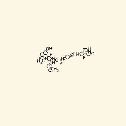 CCc1c(F)ccc2cc(O)cc(-c3ncc4c(N5CCC[C@@](C)(O)C5)nc(OCC5(CN6CC7(CCC(F)(CN8CCN(c9cc(F)c(C%10CCC(=O)NC%10=O)c(F)c9)CC8)CC7)C6)CC5)nc4c3F)c12